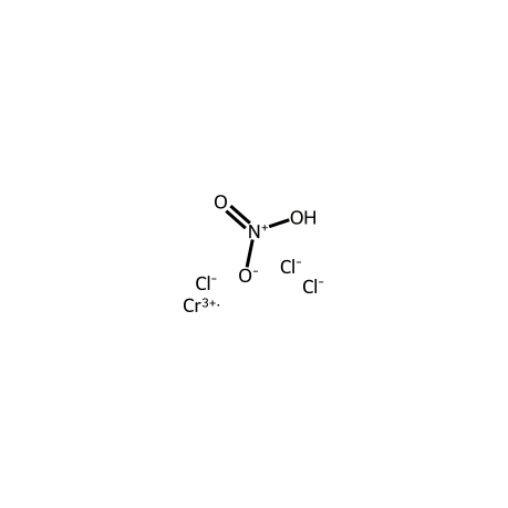 O=[N+]([O-])O.[Cl-].[Cl-].[Cl-].[Cr+3]